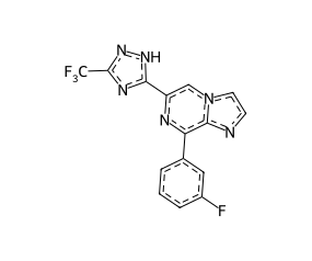 Fc1cccc(-c2nc(-c3nc(C(F)(F)F)n[nH]3)cn3ccnc23)c1